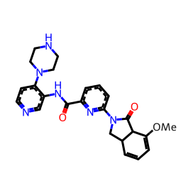 COC1=CC=CC2CN(c3cccc(C(=O)Nc4cnccc4N4CCNCC4)n3)C(=O)C12